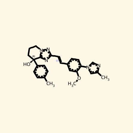 COc1cc(/C=C/c2nc3n(n2)CCC[C@@]3(O)c2ccc(C)cc2)ccc1-n1cnc(C)c1